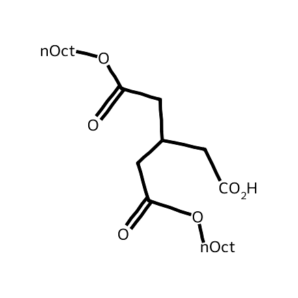 CCCCCCCCOC(=O)CC(CC(=O)O)CC(=O)OCCCCCCCC